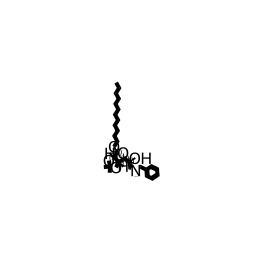 CCCCCCCCCCCCO[C@H]1O[C@H]([C@@H](O)CN(C)Cc2ccccc2)[C@@H]2OC(C)(C)O[C@H]12